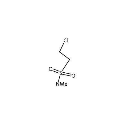 CNS(=O)(=O)CCCl